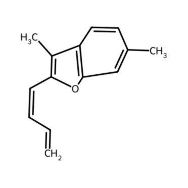 C=C/C=C\c1oc2cc(C)ccc2c1C